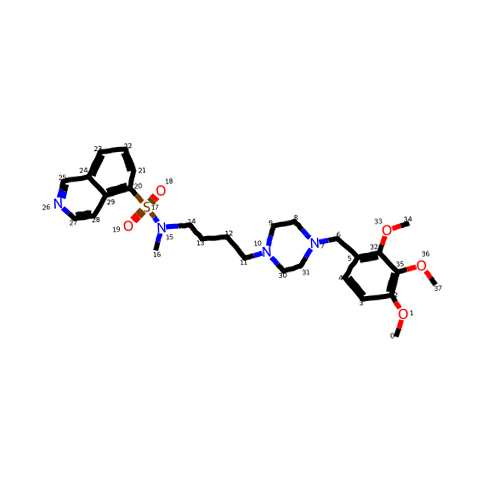 COc1ccc(CN2CCN(CCCCN(C)S(=O)(=O)c3cccc4cnccc34)CC2)c(OC)c1OC